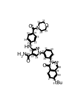 CC(C)(C)c1ccc2c(=O)n(-c3cccc(-n4cc(C(N)=O)c(Nc5ccc(C(=O)N6CCOCC6)cc5)n4)c3)ncc2c1